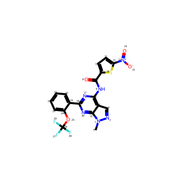 Cn1ncc2c(NC(=O)c3ccc([N+](=O)[O-])s3)nc(-c3ccccc3OC(F)(F)F)nc21